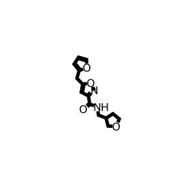 O=C(NCC1CCOC1)c1cc(Cc2ccco2)on1